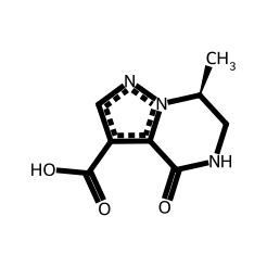 C[C@H]1CNC(=O)c2c(C(=O)O)cnn21